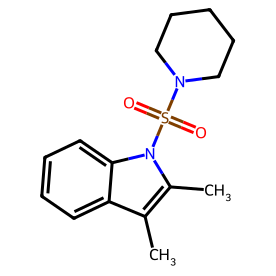 Cc1c(C)n(S(=O)(=O)N2CCCCC2)c2ccccc12